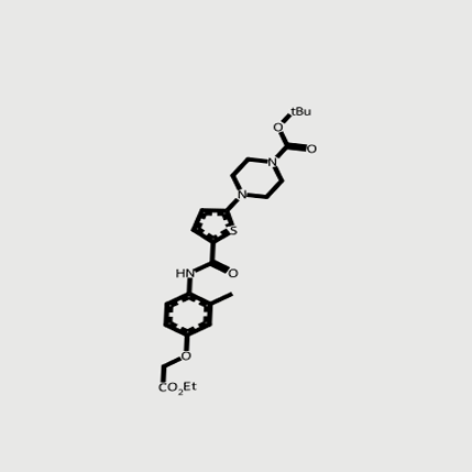 CCOC(=O)COc1ccc(NC(=O)c2ccc(N3CCN(C(=O)OC(C)(C)C)CC3)s2)c(C)c1